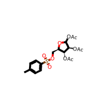 CC(=O)OC1O[C@H](COS(=O)(=O)c2ccc(C)cc2)[C@@H](OC(C)=O)[C@@H]1OC(C)=O